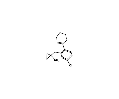 NC1(Cc2cc(Cl)ccc2C2=CCCCC2)CC1